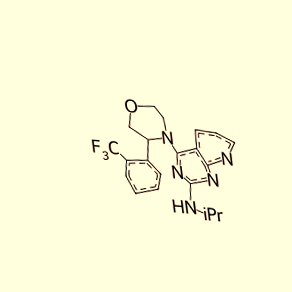 CC(C)Nc1nc(N2CCOCC2c2ccccc2C(F)(F)F)c2cccnc2n1